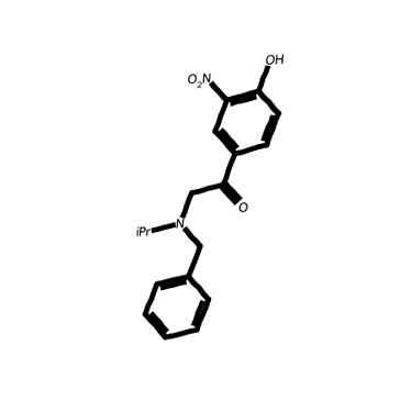 CC(C)N(CC(=O)c1ccc(O)c([N+](=O)[O-])c1)Cc1ccccc1